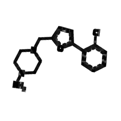 NN1CCN(Cc2ccc(-c3ccccc3Cl)o2)CC1